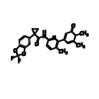 CC1=CC(c2nc(NC(=O)C3(c4ccc5c(c4)OC(F)(F)O5)CC3)ccc2C)=CC(=O)C1C